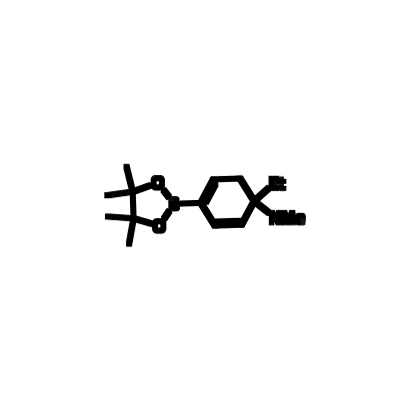 CCC1(NC)C=CC(B2OC(C)(C)C(C)(C)O2)=CC1